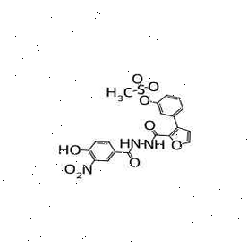 CS(=O)(=O)Oc1cccc(-c2ccoc2C(=O)NNC(=O)c2ccc(O)c([N+](=O)[O-])c2)c1